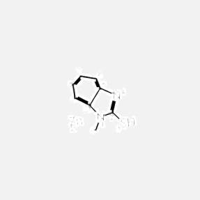 Cn1c(S)nc2ccccc21.[Zn]